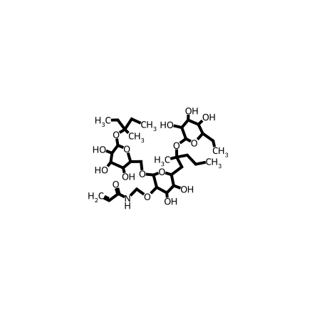 C=CC(=O)NCOC1C(OCC2OC(OC(C)(CC)CC)C(O)C(O)C2O)OC(CC(C)(CCC)OC2OC(CC)C(O)C(O)C2O)C(O)C1O